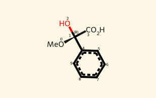 CO[C@@](O)(C(=O)O)c1ccccc1